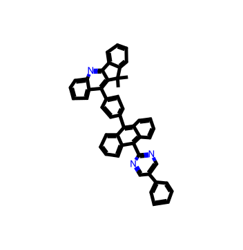 CC1(C)c2ccccc2-c2nc3ccccc3c(-c3ccc(-c4c5ccccc5c(-c5ncc(-c6ccccc6)cn5)c5ccccc45)cc3)c21